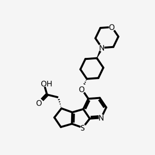 O=C(O)C[C@H]1CCc2sc3nccc(O[C@H]4CC[C@H](N5CCOCC5)CC4)c3c21